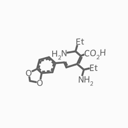 CCC(N)C(C=Cc1ccc2c(c1)OCO2)=C(C(=O)O)C(N)CC